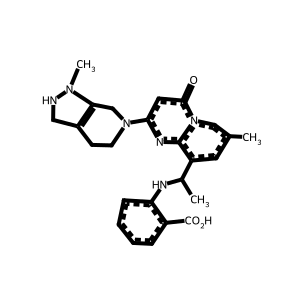 Cc1cc(C(C)Nc2ccccc2C(=O)O)c2nc(N3CCC4=C(C3)N(C)NC4)cc(=O)n2c1